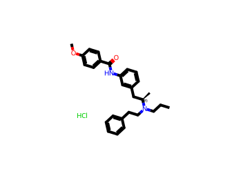 CCCN(CCc1ccccc1)[C@H](C)Cc1cccc(NC(=O)c2ccc(OC)cc2)c1.Cl